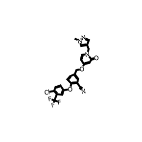 Cn1cc(Cn2ccc(OCc3ccc(Oc4ccc(Cl)c(C(F)(F)F)c4)c(C#N)c3)cc2=O)cn1